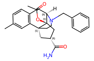 CC(=O)O[C@@]12C[C@H](C(N)=O)C[C@@]13CCN(Cc1ccccc1)[C@@H]2Cc1ccc(C)cc13